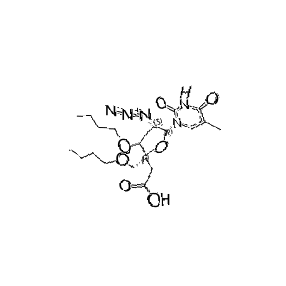 CCCCOC[C@@]1(CC(=O)O)O[C@@H](n2cc(C)c(=O)[nH]c2=O)[C@@H](N=[N+]=[N-])C1OCCCC